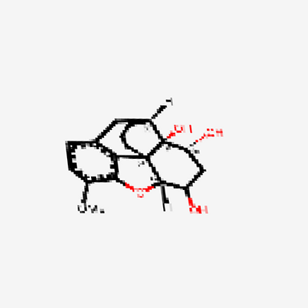 COc1ccc2c3c1O[C@H]1C(O)C[C@@H](O)[C@@]4(O)[C@H](CCC[C@]314)C2